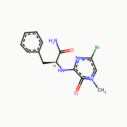 Cn1cc(Br)nc(N[C@@H](Cc2ccccc2)C(N)=O)c1=O